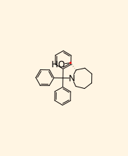 OC[C@@H]1CCCCCN1C(c1ccccc1)(c1ccccc1)c1ccccc1